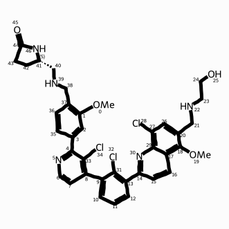 COc1cc(-c2nccc(-c3cccc(-c4ccc5c(OC)c(CNCCO)cc(Cl)c5n4)c3Cl)c2Cl)ccc1CNC[C@@H]1CCC(=O)N1